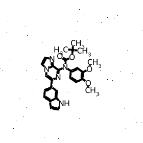 COc1ccc(N(C(=O)OC(C)(C)C)c2nc(-c3ccc4cc[nH]c4c3)cn3ccnc23)cc1OC